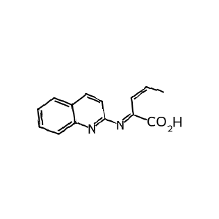 C/C=C\C(=N/c1ccc2ccccc2n1)C(=O)O